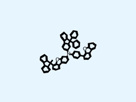 CC1(c2cccc3c2oc2cc(N(c4ccc(-c5cccc6c5oc5ccccc56)cc4)c4ccc5c(c4)C(c4ccccc4)(c4ccccc4)c4ccccc4-5)ccc23)c2ccccc2-c2ccccc21